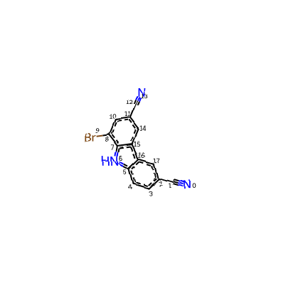 N#Cc1ccc2[nH]c3c(Br)cc(C#N)cc3c2c1